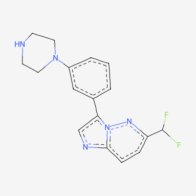 FC(F)c1ccc2ncc(-c3cccc(N4CCNCC4)c3)n2n1